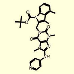 Cc1cccc2c1c(C)c(Cn1c(=O)c3c(nc(Nc4ccncc4)n3C)n(C)c1=O)n2C(=O)OC(C)(C)C